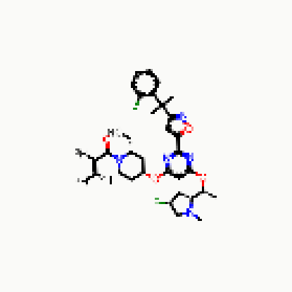 [2H]C([2H])=C([2H])C(=O)N1CC[C@H](Oc2cc(O[C@@H](C)[C@@H]3C[C@H](F)CN3C)nc(-c3cc(C(C)(C)c4ccccc4F)no3)n2)C[C@H]1CC#N